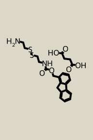 NCCSSCCNC(=O)OCc1cccc2c1Cc1ccccc1-2.O=C(O)CCC(=O)O